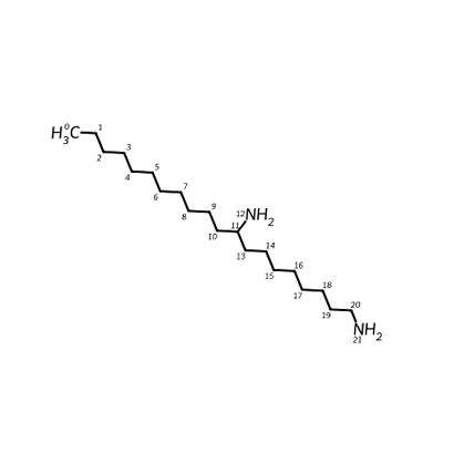 CCCCCCCCCCCC(N)CCCCCCCCN